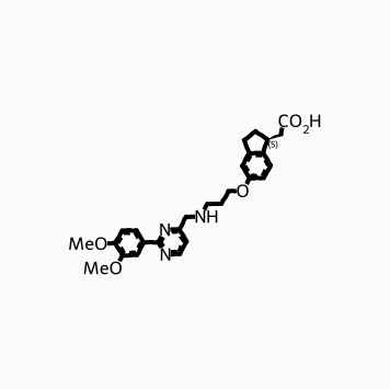 COc1ccc(-c2nccc(CNCCCOc3ccc4c(c3)CC[C@H]4CC(=O)O)n2)cc1OC